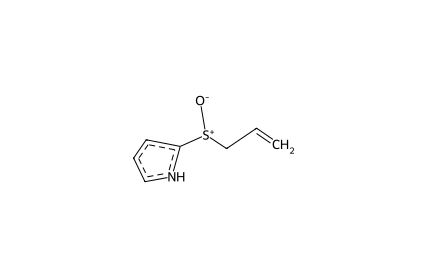 C=CC[S+]([O-])c1ccc[nH]1